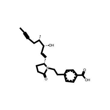 CC#CC[C@H](C)[C@H](O)/C=C/[C@H]1CCC(=O)N1CCc1ccc(C(=O)O)cc1